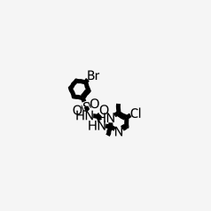 CC1=C(Cl)C=NC(C)(NC(=O)NS(=O)(=O)C2=CC(Br)CCC2)N1